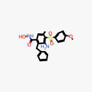 COc1ccc(S(=O)(=O)c2c(C)cc(C(=O)NO)c(Cc3ccccc3)c2N)cc1